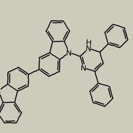 C1=C(c2ccccc2)N=C(n2c3ccccc3c3cc(-c4ccc5sc6ccccc6c5c4)ccc32)NC1c1ccccc1